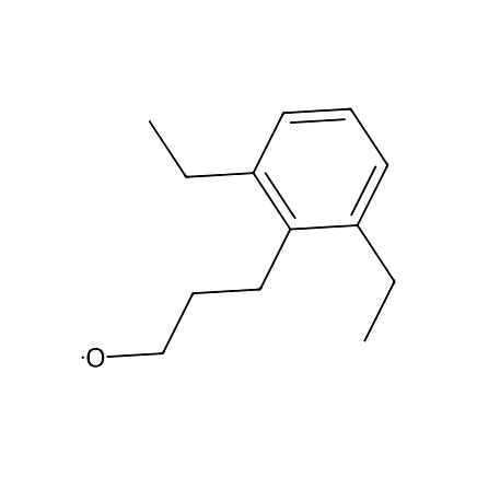 CCc1cccc(CC)c1CCC[O]